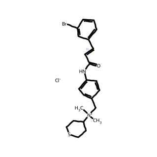 C[N+](C)(Cc1ccc(NC(=O)/C=C/c2cccc(Br)c2)cc1)C1CCSCC1.[Cl-]